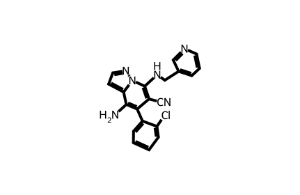 N#Cc1c(-c2ccccc2Cl)c(N)c2ccnn2c1NCc1cccnc1